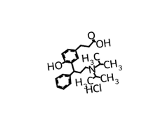 CC(C)N(CCC(c1ccccc1)c1cc(CCC(=O)O)ccc1O)C(C)C.Cl